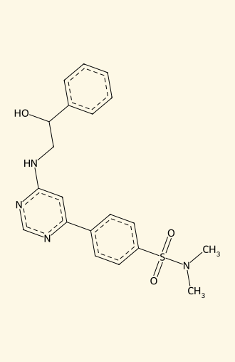 CN(C)S(=O)(=O)c1ccc(-c2cc(NCC(O)c3ccccc3)ncn2)cc1